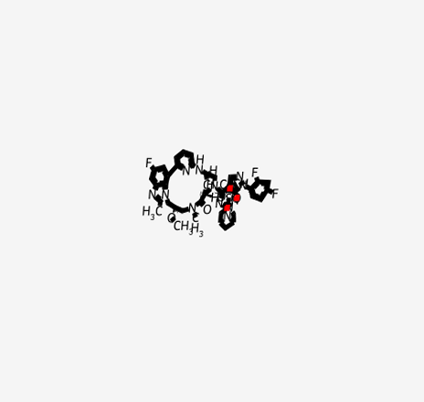 CO[C@H]1CN(C)C(=O)[C@@H]2C[C@@H](CN2c2nc(N3C4CC3CN(S(=O)(=O)N(C)C)C4)nc3c2cnn3-c2ccc(F)cc2F)Nc2cccc(n2)-c2cc(F)cc3nc(C)n(c23)C1